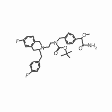 COC(C(N)=O)c1ccc(CN(CCN2Cc3ccc(F)cc3CC2Cc2ccc(F)cc2)C(=O)OC(C)(C)C)cc1